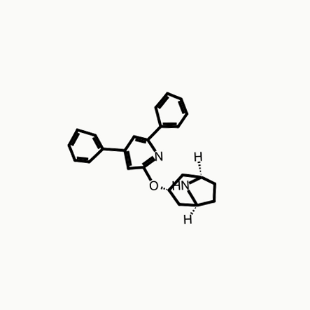 c1ccc(-c2cc(O[C@@H]3C[C@H]4CC[C@@H](C3)N4)nc(-c3ccccc3)c2)cc1